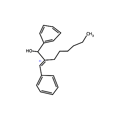 CCCCCC/C(=C\c1ccccc1)C(O)c1ccccc1